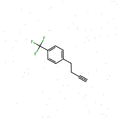 C#CCCc1ccc(C(F)(F)F)cc1